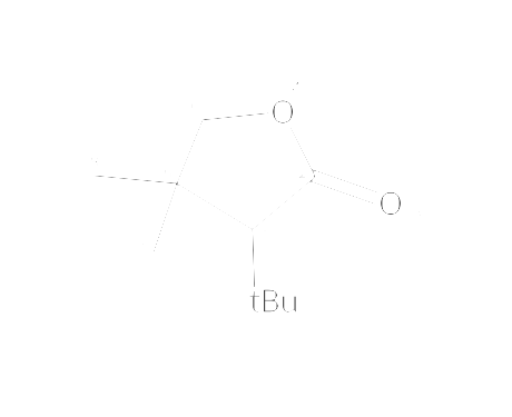 CC(C)(C)C1C(=O)OCC1(C)C